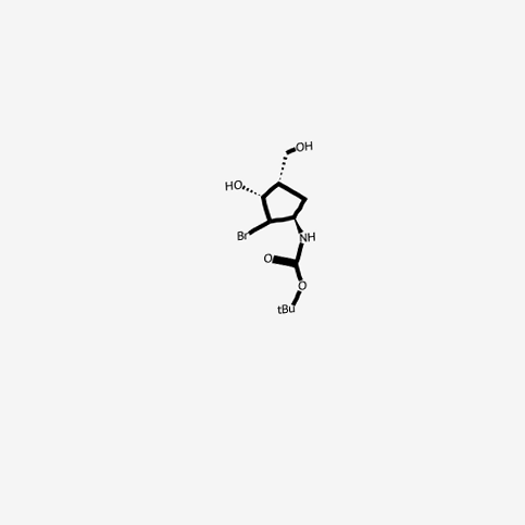 CC(C)(C)OC(=O)N[C@@H]1C[C@@H](CO)[C@@H](O)C1Br